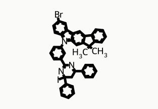 CC1(C)c2ccccc2-c2cc3c4cc(Br)ccc4n(-c4cccc(C5=NC(I)(c6ccccc6)CC(c6ccccc6)=N5)c4)c3cc21